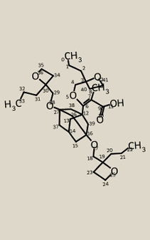 CCCC1(COC(=C(C)C(=O)O)C23CC4CC(OCC5(CCC)CCO5)(CC(OCC5(CCC)CCO5)(C4)C2)C3)CCO1